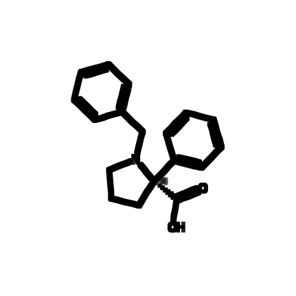 O=C(O)[C@]1(c2ccccc2)CCCN1Cc1ccccc1